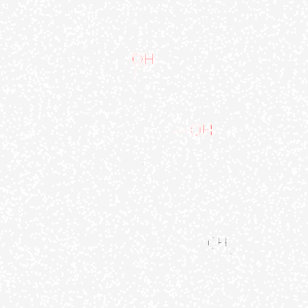 C=CCC12C=CC(C1)C(O)C2O